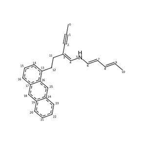 CC#CC(=CNC=CC=CC)CCc1cccc2cc3ccccc3cc12